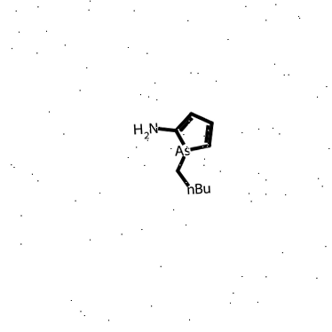 CCCCC[As]1C=CC=C1N